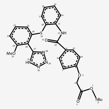 CCCCOC(=O)COc1ccc(C(=O)Nc2ccccc2Sc2cccc(OC)c2-c2nnn[nH]2)cc1